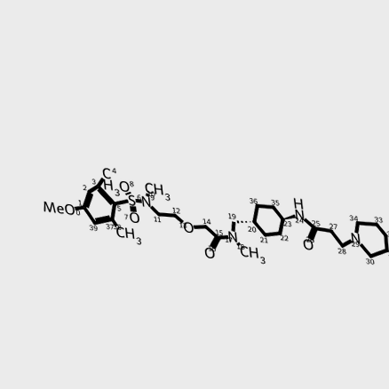 COc1cc(C)c(S(=O)(=O)N(C)CCOCC(=O)N(C)C[C@H]2CC[C@H](NC(=O)CCN3CCCCC3)CC2)c(C)c1